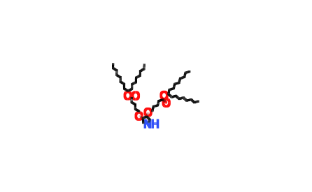 CCCCCCCCC(CCCCCCCC)OC(=O)CCCCO[C@H]1CNC[C@H]1OCCCCC(=O)OC(CCCCCCCC)CCCCCCCC